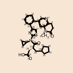 CN1C(=O)CCc2ncc(-c3ccccc3-c3csc(N(C(=O)[C@@H](CC(=O)O)CC4CCCC4)C4CC4)n3)cc21